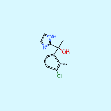 Cc1c(Cl)cccc1C(C)(O)c1ncc[nH]1